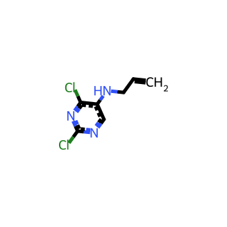 C=CCNc1cnc(Cl)nc1Cl